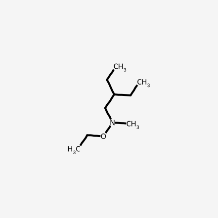 CCON(C)CC(CC)CC